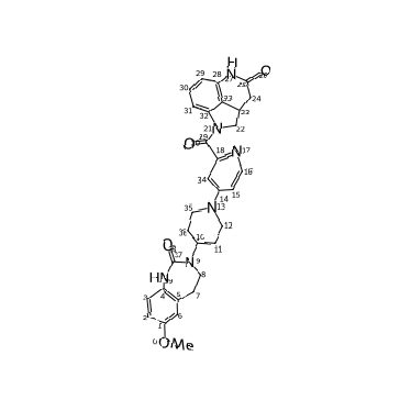 COc1ccc2c(c1)CCN(C1CCN(c3ccnc(C(=O)N4CC5CC(=O)Nc6cccc4c65)c3)CC1)C(=O)N2